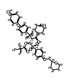 O=C([C@H](N(OC(=O)C(F)(F)F)S(=O)(=O)c1ccc(OCC2CCCCC2)cc1)C(F)(F)c1ccc(-c2ccc(Cl)cc2)cc1)N1CCNCC1